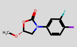 CO[C@H]1CN(c2ccc(I)c(F)c2)C(=O)O1